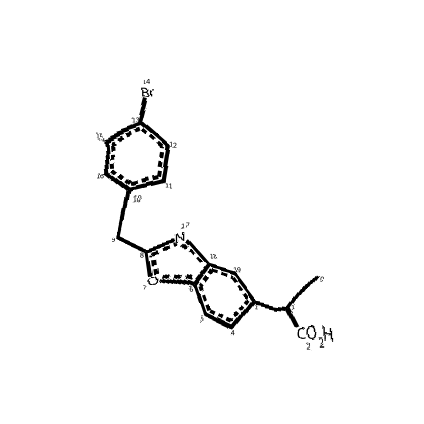 CC(C(=O)O)c1ccc2oc(Cc3ccc(Br)cc3)nc2c1